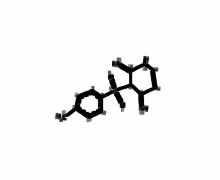 Cc1ccc(S(=O)(=O)C2C(=N)C=CNC2=N)cc1